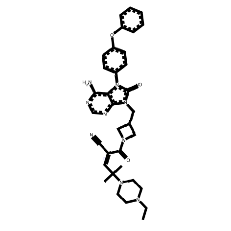 CCN1CCN(C(C)(C)/C=C(/C#N)C(=O)N2CC(Cn3c(=O)n(-c4ccc(Oc5ccccc5)cc4)c4c(N)ncnc43)C2)CC1